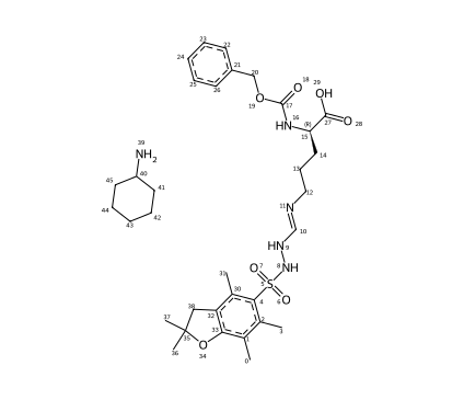 Cc1c(C)c(S(=O)(=O)NNC=NCCC[C@@H](NC(=O)OCc2ccccc2)C(=O)O)c(C)c2c1OC(C)(C)C2.NC1CCCCC1